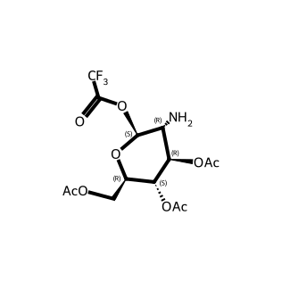 CC(=O)OC[C@H]1O[C@@H](OC(=O)C(F)(F)F)[C@H](N)[C@@H](OC(C)=O)[C@@H]1OC(C)=O